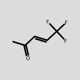 CC(=O)/C=C/C(F)(F)F